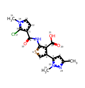 Cc1cc(-c2csc(NC(=O)c3ccn(C)c3Cl)c2C(=O)O)n(C)n1